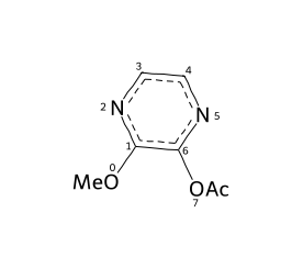 COc1nccnc1OC(C)=O